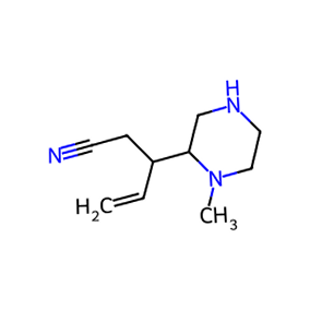 C=CC(CC#N)C1CNCCN1C